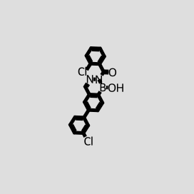 O=C(c1ccccc1Cl)N1N=Cc2cc(-c3cccc(Cl)c3)ccc2B1O